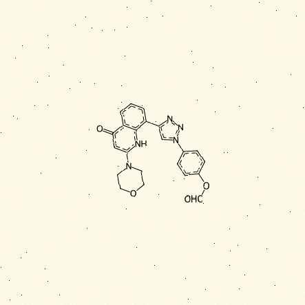 O=COc1ccc(-n2cc(-c3cccc4c(=O)cc(N5CCOCC5)[nH]c34)nn2)cc1